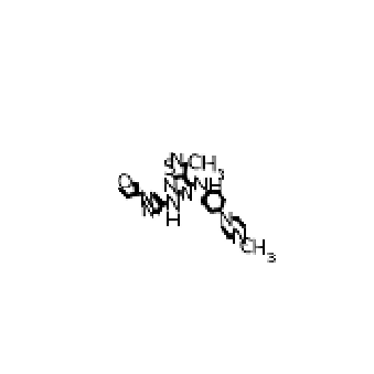 Cc1nsc2nc(Nc3cnn(C4CCOC4)c3)nc(NC3CCC(N4CCN(C)CC4)CC3)c12